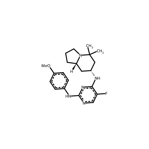 COc1ccc(Nc2ncc(F)c(N[C@@H]3C[C@@H]4CCCN4C(C)(C)C3)n2)cc1